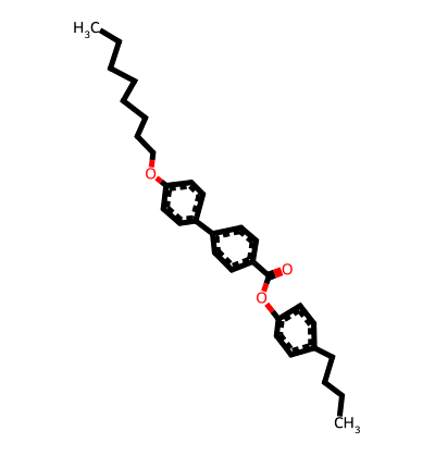 CCCCCCCCOc1ccc(-c2ccc(C(=O)Oc3ccc(CCCC)cc3)cc2)cc1